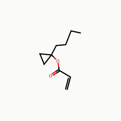 C=CC(=O)OC1(CCCC)CC1